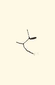 [CH2]C(=C)C(C)CC(C)C